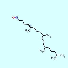 C/C(=C\CCCN=O)CCCC(C)CCCC(C)CCCC(C)C